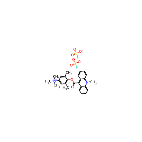 Cc1cc([N+](C)(C)C)cc(C)c1OC(=O)c1c2ccccc2[n+](C)c2ccccc12.O=S(=O)([O-])F.O=S(=O)([O-])F